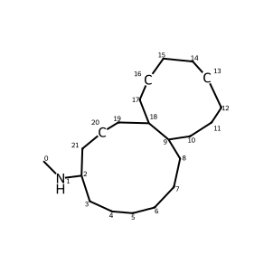 CNC1CCCCCCC2CCCCCCCCC2CCC1